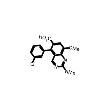 CNc1ncc2c(-c3cccc(Cl)c3)c(C(=O)O)cc(OC)c2n1